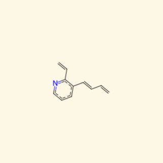 C=CC=Cc1cccnc1C=C